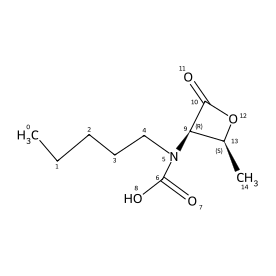 CCCCCN(C(=O)O)[C@H]1C(=O)O[C@H]1C